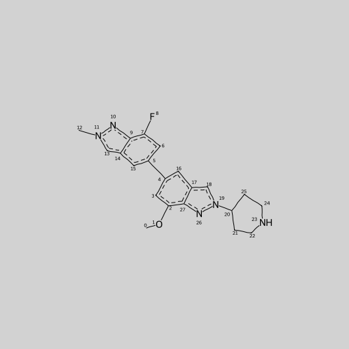 COc1cc(-c2cc(F)c3nn(C)cc3c2)cc2cn(C3CCNCC3)nc12